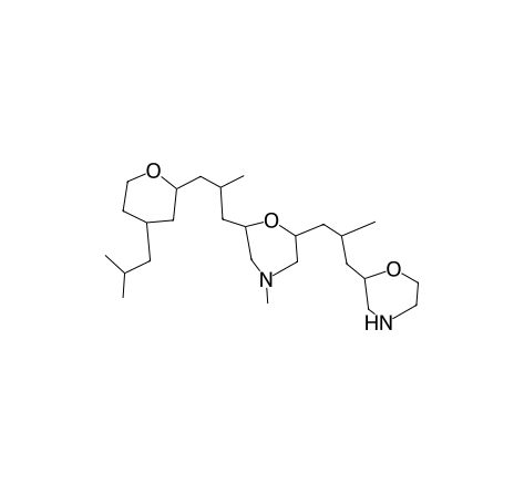 CC(C)CC1CCOC(CC(C)CC2CN(C)CC(CC(C)CC3CNCCO3)O2)C1